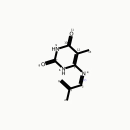 C=C(C)/C=N\c1[nH]c(=O)[nH]c(=O)c1C